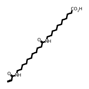 C=CC(=O)NCCCCCCCCCCC(=O)NCCCCCCCCCCC(=O)O